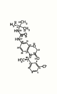 C[C@H](c1cccc(Cl)c1)N1C(=O)COc2cc(NC(=O)NC(C)(C)C)ccc21